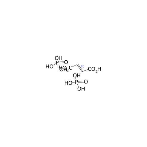 O=C(O)/C=C/C(=O)O.O=P(O)(O)O.O=P(O)(O)O